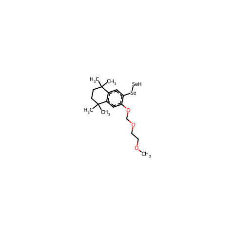 COCCOCOc1cc2c(cc1[Se][SeH])C(C)(C)CCC2(C)C